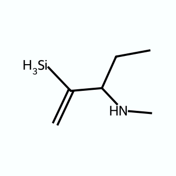 C=C([SiH3])C(CC)NC